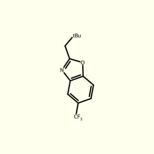 CC(C)(C)Cc1nc2cc(C(F)(F)F)ccc2o1